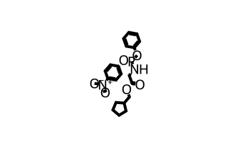 O=C(CNP(Oc1ccccc1)Oc1ccc([N+](=O)[O-])cc1)OCC1CCCC1